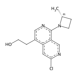 C[C@@H]1CCN1c1ncc(CCO)c2cc(Cl)ncc12